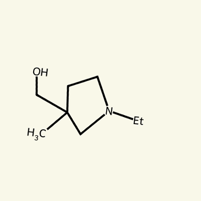 CCN1CCC(C)(CO)C1